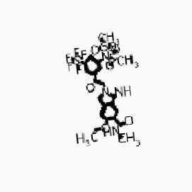 CCOc1cc2c(cc1C(=O)NC)C(=N)N(CC(=O)c1cc(N(S(C)(=O)=O)S(C)(=O)=O)cc(S(F)(F)(F)(F)F)c1)C2